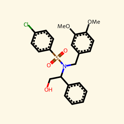 COc1ccc(CN(C(CO)c2ccccc2)S(=O)(=O)c2ccc(Cl)cc2)cc1OC